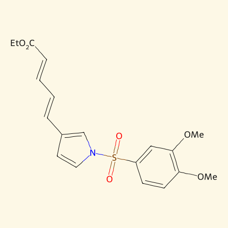 CCOC(=O)C=CC=Cc1ccn(S(=O)(=O)c2ccc(OC)c(OC)c2)c1